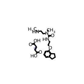 CNCCN(C)C(=O)NCCOc1cccc2c1CCC2.O=C(O)/C=C/C(=O)O